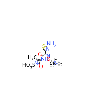 CCN(CC)CC.C[C@H]1[C@H](NC(=O)C(=NOCC#N)c2csc(N)n2)C(=O)N1S(=O)(=O)O